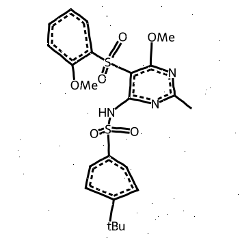 COc1ccccc1S(=O)(=O)c1c(NS(=O)(=O)c2ccc(C(C)(C)C)cc2)nc(C)nc1OC